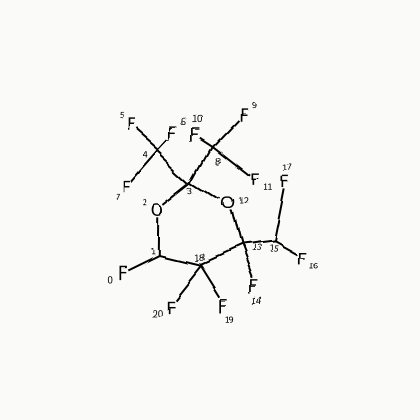 FC1OC(C(F)(F)F)(C(F)(F)F)OC(F)(C(F)F)C1(F)F